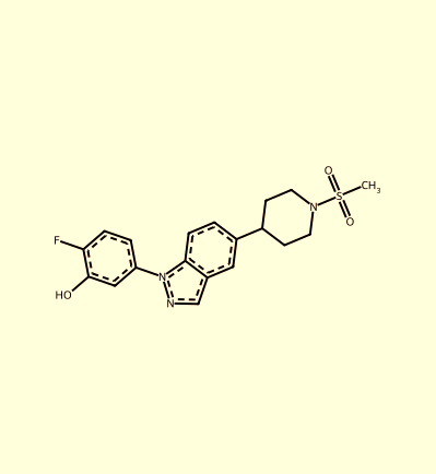 CS(=O)(=O)N1CCC(c2ccc3c(cnn3-c3ccc(F)c(O)c3)c2)CC1